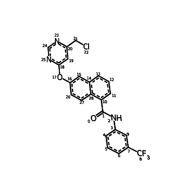 O=C(Nc1cccc(C(F)(F)F)c1)c1cccc2cc(Oc3cc(CCl)ncn3)ccc12